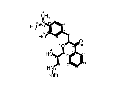 CCCNCC(O)COC(Cc1ccc(N(C)C)c(O)c1)C(=O)c1ccccc1